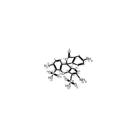 Bc1ccc2c(c1)C(=O)OC21c2ccc(N)c(S(=O)(=O)O)c2Oc2c1ccc(N)c2S(=O)(=O)O